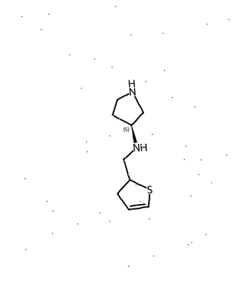 C1=CSC(CN[C@H]2CCNC2)C1